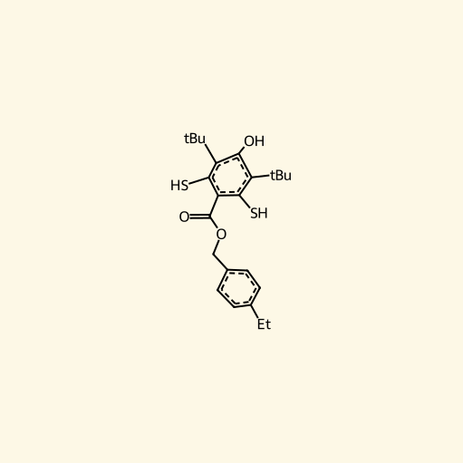 CCc1ccc(COC(=O)c2c(S)c(C(C)(C)C)c(O)c(C(C)(C)C)c2S)cc1